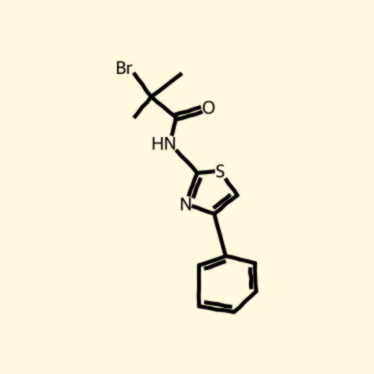 CC(C)(Br)C(=O)Nc1nc(-c2ccccc2)cs1